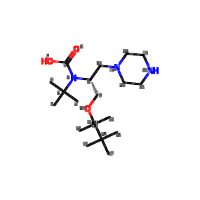 CC(C)(C)N(C(=O)O)[C@@H](CO[Si](C)(C)C(C)(C)C)CN1CCNCC1